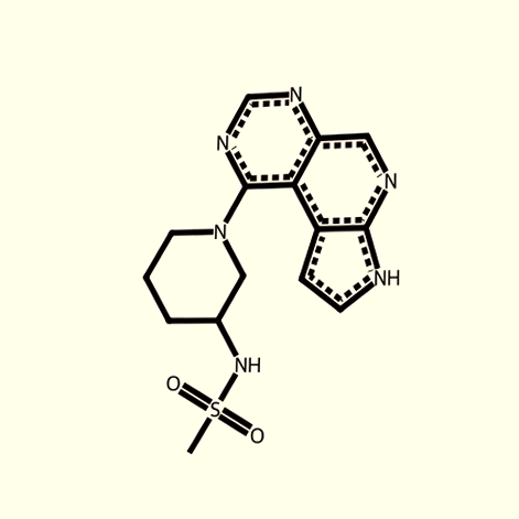 CS(=O)(=O)NC1CCCN(c2ncnc3cnc4[nH]ccc4c23)C1